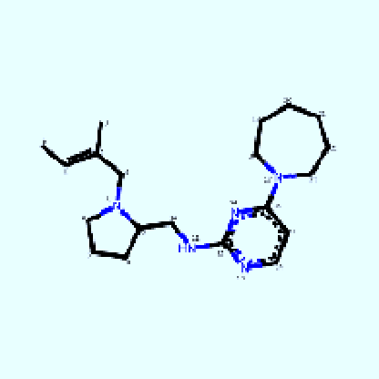 CC=C(C)CN1CCCC1CNc1nccc(N2CCCCCC2)n1